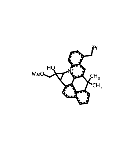 COCC1(O)C2c3ccc4cccc5c4c3-c3c(cc4c(CC(C)C)cccc4[n+]3C21)C5(C)C